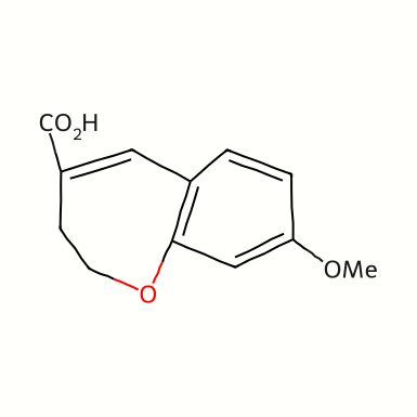 COc1ccc2c(c1)OCCC(C(=O)O)=C2